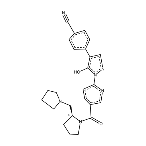 N#Cc1ccc(-c2cnn(-c3ccc(C(=O)N4CCC[C@H]4CN4CCCC4)cn3)c2O)cc1